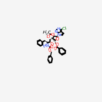 CC(=O)OC1[C@@H](CC(=O)[C@H](Cc2ccccc2)NC(=O)OCc2ccccc2)[C@@H](COC(=O)c2ccccc2)O[C@H]1n1ccc2c(Cl)ncnc21